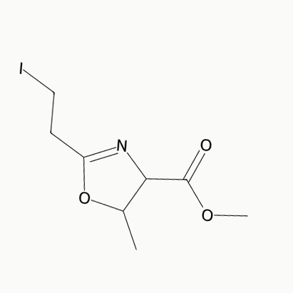 COC(=O)C1N=C(CCI)OC1C